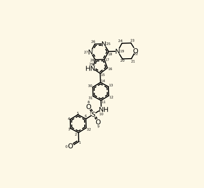 O=Cc1cccc(S(=O)(=O)Nc2ccc(-c3cc4c(N5CCOCC5)ncnc4[nH]3)cc2)c1